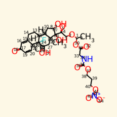 CC(OCC(=O)[C@@]1(O)[C@H](O)C[C@H]2[C@@H]3CCC4=CC(=O)C=C[C@]4(C)[C@@]3(F)[C@@H](O)C[C@@]21C)OC(=O)CNC(=O)OCCCO[N+](=O)[O-]